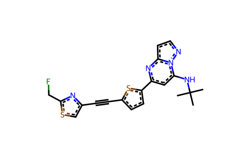 CC(C)(C)Nc1cc(-c2ccc(C#Cc3csc(CF)n3)s2)nc2ccnn12